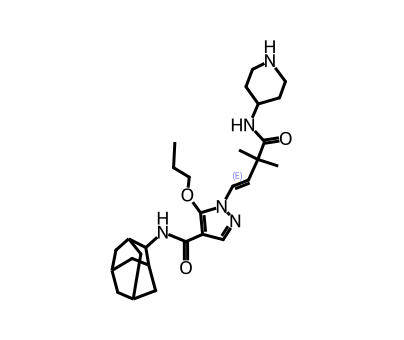 CCCOc1c(C(=O)NC2C3CC4CC(C3)CC2C4)cnn1/C=C/C(C)(C)C(=O)NC1CCNCC1